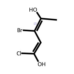 C/C(O)=C(/Br)C=C(O)Cl